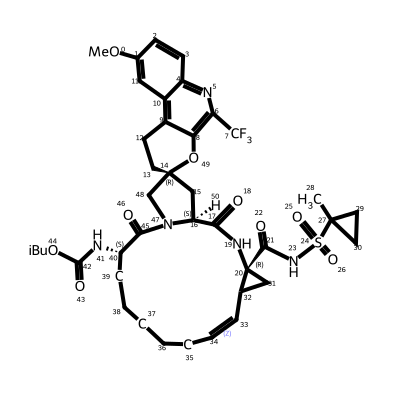 COc1ccc2nc(C(F)(F)F)c3c(c2c1)CC[C@]1(C[C@H]2C(=O)N[C@]4(C(=O)NS(=O)(=O)C5(C)CC5)CC4/C=C\CCCCC[C@H](NC(=O)OCC(C)C)C(=O)N2C1)O3